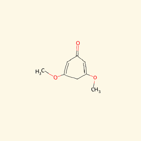 COC1=CC(=O)C=C(OC)C1